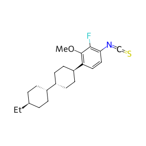 CC[C@H]1CC[C@H]([C@H]2CC[C@H](c3ccc(N=C=S)c(F)c3OC)CC2)CC1